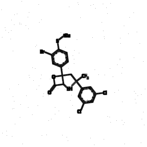 CC(C)(C)Sc1ccc(C2(CC(C)(c3cc(Cl)cc(Cl)c3)C(F)(F)F)OC(=O)C2S)cc1Br